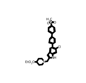 CCOC(=O)C1CCN(Cc2cc3cc(-c4ccc(-c5ccc(S(C)(=O)=O)cc5)cc4)c(Cl)cc3[nH]2)CC1